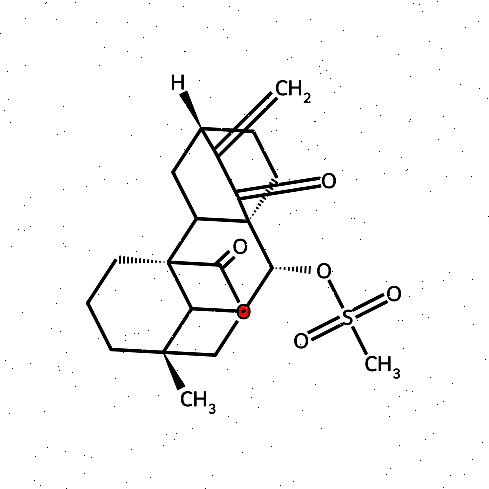 C=C1C(=O)[C@]23CC[C@H]1CC2[C@@]12CCC[C@@](C)(COC1=O)C2C[C@H]3OS(C)(=O)=O